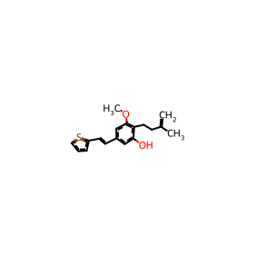 C=C(C)CCc1c(O)cc(/C=C/c2cccs2)cc1OC